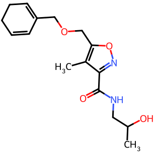 Cc1c(C(=O)NCC(C)O)noc1COCC1=CCCC=C1